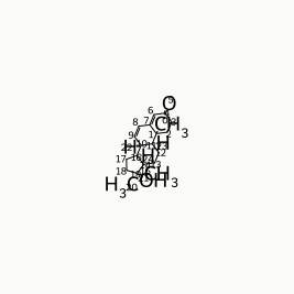 C[C@]12CCC(=O)C=C1C=C[C@@H]1[C@@H]2CC[C@@]2(C)[C@H]1CC[C@]2(C)O